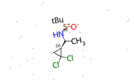 CC(N[S@@+]([O-])C(C)(C)C)[C@@H]1CC1(Cl)Cl